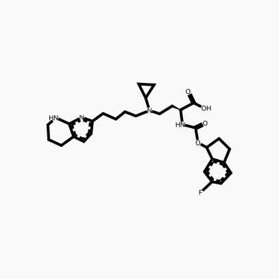 O=C(N[C@@H](CCN(CCCCc1ccc2c(n1)NCCC2)C1CC1)C(=O)O)OC1CCc2ccc(F)cc21